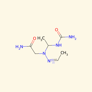 C/C=N\N(CC(N)=O)C(C)NC(N)=O